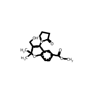 COC(=O)c1ccc2c(c1)C(N1CCCC1=O)=C(CO)C(C)(C)O2